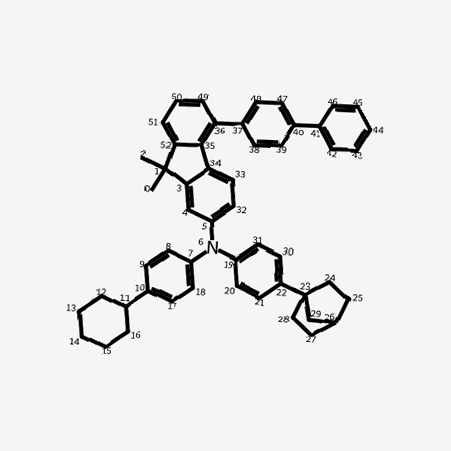 CC1(C)c2cc(N(c3ccc(C4CCCCC4)cc3)c3ccc(C45CCC(CC4)C5)cc3)ccc2-c2c(-c3ccc(-c4ccccc4)cc3)cccc21